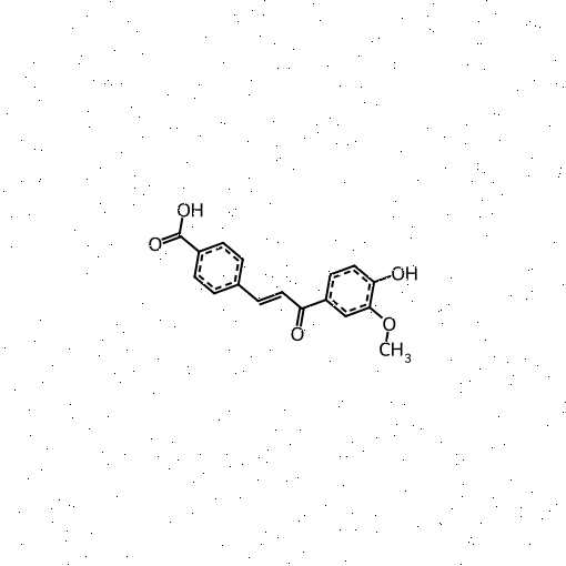 COc1cc(C(=O)C=Cc2ccc(C(=O)O)cc2)ccc1O